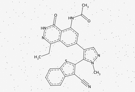 CCc1n[nH]c(=O)c2c(NC(C)=O)cc(-c3cnn(C)c3-c3sc4ccccc4c3C#N)cc12